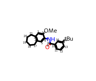 COc1cc2c(cc1NC(=O)c1cccc(C(C)(C)C)c1)CCCCC2